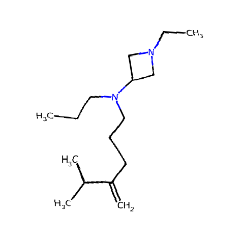 C=C(CCCN(CCC)C1CN(CC)C1)C(C)C